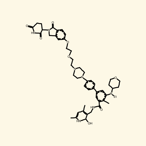 CCN(c1cc(-c2ccc(N3CCN(CCOCCOc4ccc5c(c4)CN(C4CCC(=O)NC4=O)C5=O)CC3)cc2)cc(C(=O)NCC2=C(C)C=C(C)NC2O)c1C)C1CCOCC1